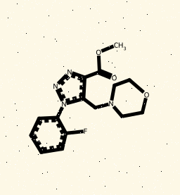 COC(=O)c1nnn(-c2ccccc2F)c1CN1CCOCC1